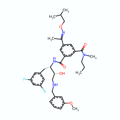 CCCN(C)C(=O)c1cc(C(=O)N[C@@H](Cc2cc(F)cc(F)c2)[C@H](O)CNCc2cccc(OC)c2)cc(/C(C)=N/OCC(C)C)c1